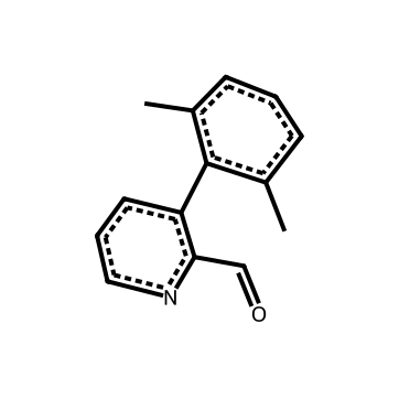 Cc1cccc(C)c1-c1cccnc1C=O